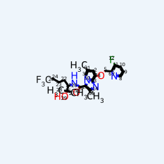 Cc1cc(OCc2ncccc2F)c2nc(C)c(C(=O)NC(CCCC(F)(F)F)C(C)(C)O)n2c1